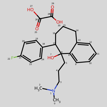 CN(C)CCCC1(O)c2ccccc2CCCC1c1ccc(F)cc1.O=C(O)C(=O)O